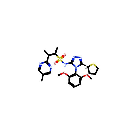 COc1cccc(OC)c1-n1c(NS(=O)(=O)C(C)C(C)c2ncc(C)cn2)nnc1[C@@H]1CCCS1